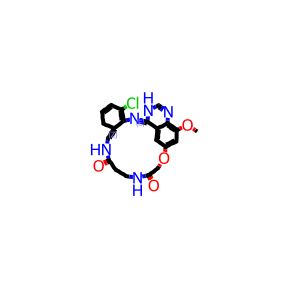 COc1cc2cc3c1N=CN/C3=N/C1=C(Cl)C=CC/C1=C/NC(=O)CCNC(=O)CO2